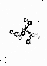 CN(CCCn1c(SCc2cccc(Br)c2)nc2cc(C(=O)N3CCC(N4CCCC4)CC3)ccc21)CCc1ccccn1